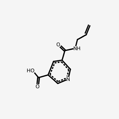 C=CCNC(=O)c1cncc(C(=O)O)c1